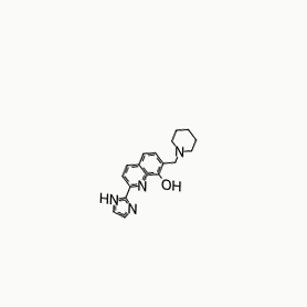 Oc1c(CN2CCCCC2)ccc2ccc(-c3ncc[nH]3)nc12